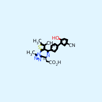 Cc1sc2c(c1C)C(c1ccc(-c3cc(C#N)ccc3O)cc1)=N[C@@H](CC(=O)O)c1nnc(C)n1-2